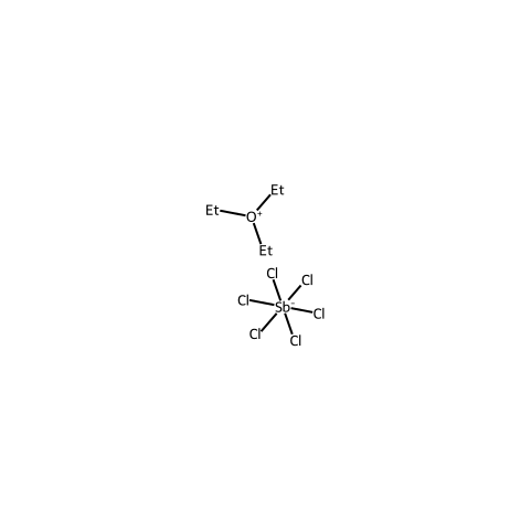 CC[O+](CC)CC.[Cl][Sb-]([Cl])([Cl])([Cl])([Cl])[Cl]